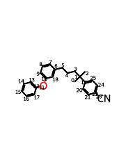 CC(C)(CCCc1cccc(Oc2ccccc2)c1)c1ccc(C#N)cc1